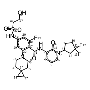 O=C(Nc1cccn(C2CCC(F)(F)C2)c1=O)c1c(F)cc(NS(=O)(=O)CCO)cc1N1CCC2(CC1)CC2